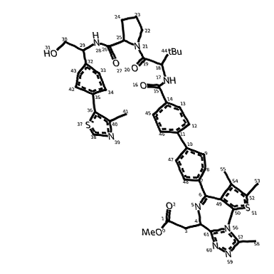 COC(=O)CC1N=C(c2ccc(-c3ccc(C(=O)NC(C(=O)N4CCCC4C(=O)NC(CO)c4ccc(-c5scnc5C)cc4)C(C)(C)C)cc3)cc2)c2c(sc(C)c2C)-n2c(C)nnc21